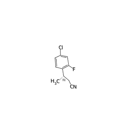 C[C@@H](CC#N)c1ccc(Cl)cc1F